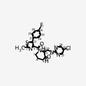 Cc1nc(C(=O)N2CCC[C@H]3ON(c4ncc(Cl)cn4)C[C@H]32)c(-c2ccc(F)cc2)s1